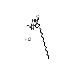 CCCCCCCCCCCCCCN1CC(NC=O)C(NC=O)C1.Cl